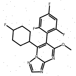 COc1nc2ncnn2c(C2CCC(F)CC2)c1-c1c(F)cc(F)cc1F